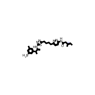 Bc1cc(C)cc(C(C)C(=C)Nc2nnc(CCCCc3ccc(NC(=O)C/C(C)=C/C)nn3)s2)c1